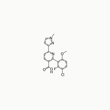 COc1ccc(Cl)c(F)c1-c1nc(-c2ccn(C)n2)ccc1C(=O)O